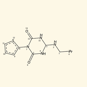 CC(C)CNC1NC(=O)N(c2cccs2)C(=O)N1